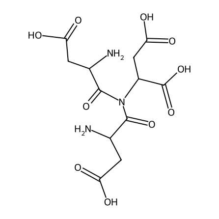 NC(CC(=O)O)C(=O)N(C(=O)C(N)CC(=O)O)C(CC(=O)O)C(=O)O